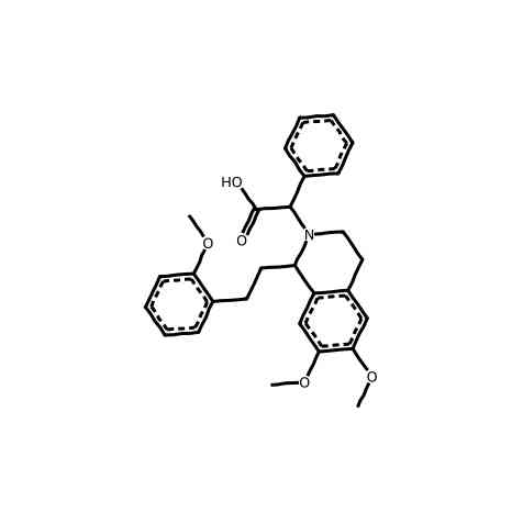 COc1ccccc1CCC1c2cc(OC)c(OC)cc2CCN1C(C(=O)O)c1ccccc1